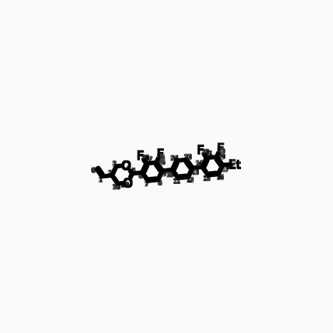 C=CC1COC(c2ccc(-c3ccc(-c4ccc(CC)c(F)c4F)cc3)c(F)c2F)OC1